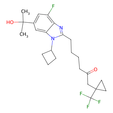 CC(C)(O)c1cc(F)c2nc(CCCCC(=O)CC3(C(F)(F)F)CC3)n(C3CCC3)c2c1